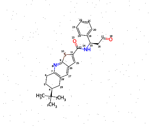 CC(C)(C)[C@H]1CCc2nc3sc(C(=O)N[C@H](CC=O)c4ccccc4)cc3cc2C1